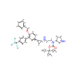 CC(C)(C)OC(=O)N(CCN[C@@H]1C[C@H]1c1ccc(OCc2ccccc2)c(-c2ccc(C(F)(F)F)cc2)c1)[C@@H]1CCNC1